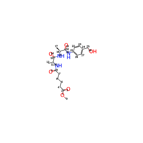 COC(=O)CCCCC(=O)NC(C)C(=O)N[C@@H](C)C(=O)Nc1ccc(CO)cc1